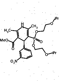 COC(=O)C1=C(C)NC(C)=C(P(=O)(OCCOC(C)C)OCCOC(C)C)[C@H]1c1cccc([N+](=O)[O-])c1